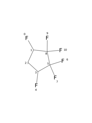 FC1[CH]C(F)C(F)(F)C1(F)F